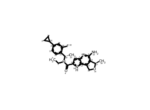 CCN(C(=O)c1cc2nc(N)c3c(c2[nH]1)CO[C@@H]3C)[C@@H](C)c1ccc(C2CC2)cc1F